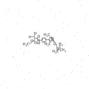 CCOC(=O)C(C(=O)Nc1ccc(-c2c(C)nn(COCC[Si](C)(C)C)c2C)cc1)C(C1CC1)C1CC1